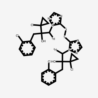 [2H]C(n1ncnc1SSc1ncnn1C([2H])C(O)(Cc1ccccc1Cl)C1(Cl)CC1)C(O)(Cc1ccccc1Cl)C1(Cl)CC1